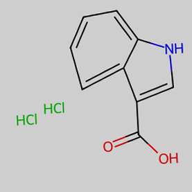 Cl.Cl.O=C(O)c1c[nH]c2ccccc12